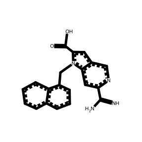 N=C(N)c1cc2c(cn1)cc(C(=O)O)n2Cc1cccc2ccccc12